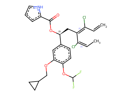 C=C/C(Cl)=C(C[C@H](OC(=O)c1ccc[nH]1)c1ccc(OC(F)F)c(OCC2CC2)c1)\C(Cl)=C/C